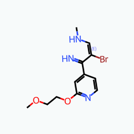 CN/C=C(/Br)C(=N)c1ccnc(OCCOC)c1